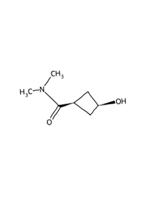 CN(C)C(=O)[C@H]1C[C@@H](O)C1